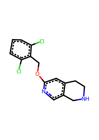 Clc1cccc(Cl)c1COc1cc2c(cn1)CNCC2